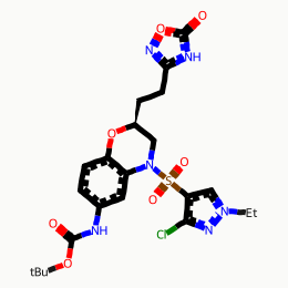 CCn1cc(S(=O)(=O)N2C[C@H](CCc3noc(=O)[nH]3)Oc3ccc(NC(=O)OC(C)(C)C)cc32)c(Cl)n1